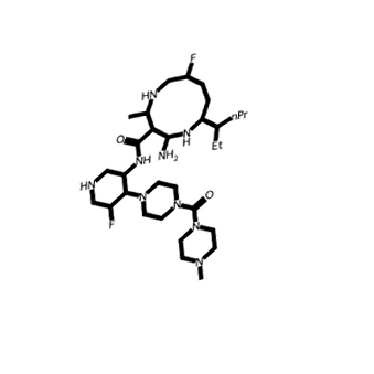 CCCC(CC)C1CCC(F)CNC(C)C(C(=O)NC2CNCC(F)C2N2CCN(C(=O)N3CCN(C)CC3)CC2)C(N)N1